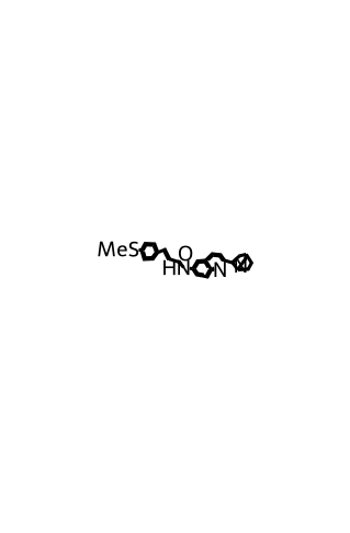 CSc1ccc(C=CC(=O)Nc2ccc3nc(N4CC5CCC4CC5)ccc3c2)cc1